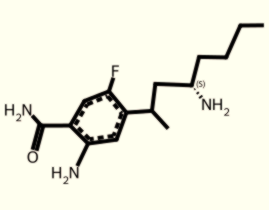 CCCC[C@H](N)CC(C)c1cc(N)c(C(N)=O)cc1F